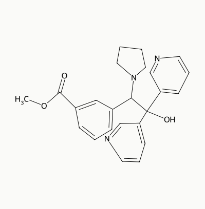 COC(=O)c1cccc(C(N2CCCC2)C(O)(c2cccnc2)c2cccnc2)c1